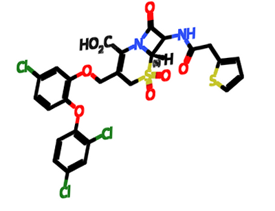 O=C(Cc1cccs1)NC1C(=O)N2C(C(=O)O)=C(COc3cc(Cl)ccc3Oc3ccc(Cl)cc3Cl)CS(=O)(=O)[C@@H]12